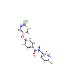 CC1CC2CCN1CC2NC(=O)c1ccc(Oc2ccc(Cl)nc2)cc1